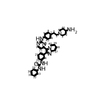 NC1CCN(CCc2ccc(Nc3nccc(-c4c(-c5cccc(NC(=O)Nc6ccccc6)c5)nc5ccccn45)n3)cc2)CC1